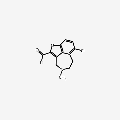 CN1CCc2c(Cl)ccc3oc(C(=O)Cl)c(c23)C1